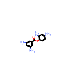 Nc1cc(N)cc(C(=O)Oc2ccc(N)cc2N)c1